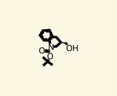 CC(C)(C)OC(=O)N1C[C@H](CO)Cc2ccccc21